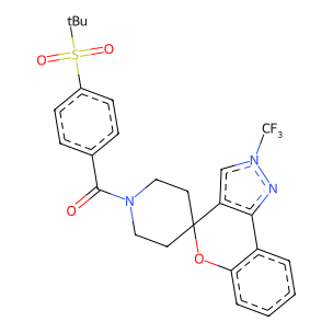 CC(C)(C)S(=O)(=O)c1ccc(C(=O)N2CCC3(CC2)Oc2ccccc2-c2nn(C(F)(F)F)cc23)cc1